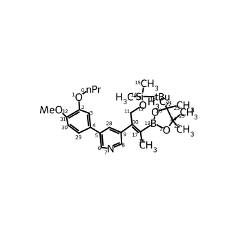 CCCOc1cc(-c2cncc(/C(CO[Si](C)(C)C(C)(C)C)=C(\C)B3OC(C)(C)C(C)(C)O3)c2)ccc1OC